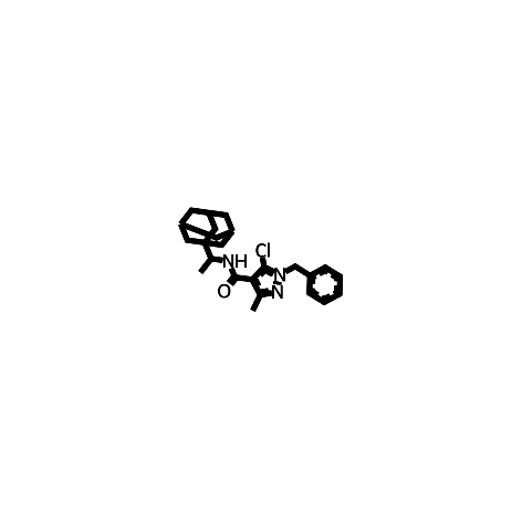 Cc1nn(Cc2ccccc2)c(Cl)c1C(=O)NC(C)C12CC3CC(CC(C3)C1)C2